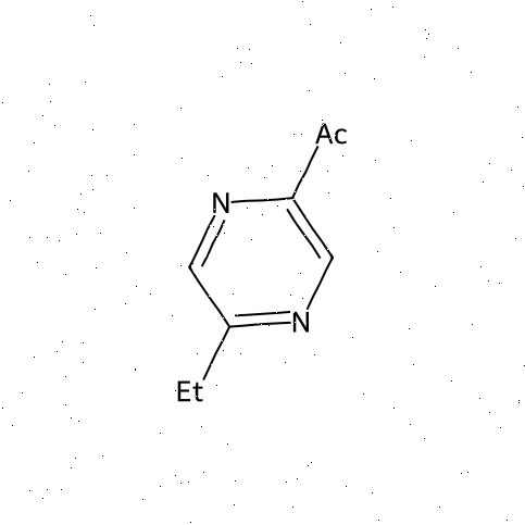 CCc1cnc(C(C)=O)cn1